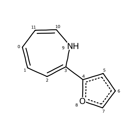 C1=CC=C(c2ccco2)NC=C1